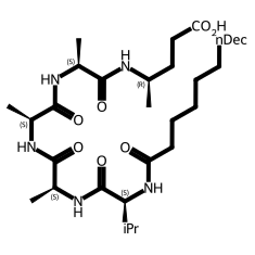 CCCCCCCCCCCCCCCC(=O)N[C@H](C(=O)N[C@@H](C)C(=O)N[C@@H](C)C(=O)N[C@@H](C)C(=O)N[C@H](C)CCC(=O)O)C(C)C